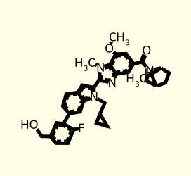 COc1cc(C(=O)N2CC3CCC2[C@@H]3C)cc2nc(-c3cc4ccc(-c5cc(CO)ccc5F)cc4n3CC3CC3)n(C)c12